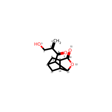 C=C(CO)C(=O)C1C2CC3C(=O)OC1C3C2